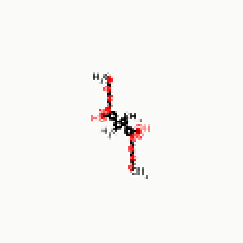 COCCOCCOCCOc1ccc(-c2cc(C)cc3c(-c4ccc(OCCOCCOCCOC)c(C(=O)O)c4)cc(C)cc23)cc1C(=O)O